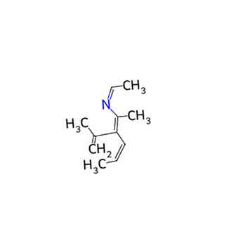 C=C(C)C(/C=C\C)=C(C)\N=C/C